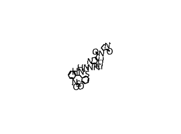 CN1CCC(NC(=O)c2cnc(NNC(=S)NC3c4ccccc4N(C)S(=O)(=O)c4ccccc43)c(Cl)c2)C1=O